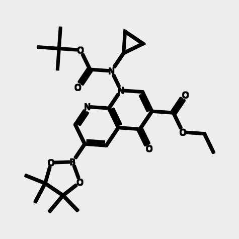 CCOC(=O)c1cn(N(C(=O)OC(C)(C)C)C2CC2)c2ncc(B3OC(C)(C)C(C)(C)O3)cc2c1=O